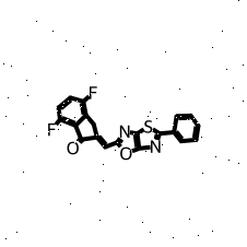 O=C1/C(=C/c2nc3sc(-c4ccccc4)nc3o2)Cc2c(F)ccc(F)c21